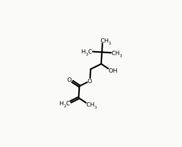 C=C(C)C(=O)OCC(O)C(C)(C)C